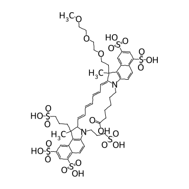 COCCOCCOCCC1(C)C(=CC=CC=CC=CC2N(CCCS(=O)(=O)O)c3ccc4c(S(=O)(=O)O)cc(S(=O)(=O)O)cc4c3C2(C)CCCS(=O)(=O)O)N(CCCCCC(=O)O)c2ccc3c(S(=O)(=O)O)cc(S(=O)(=O)O)cc3c21